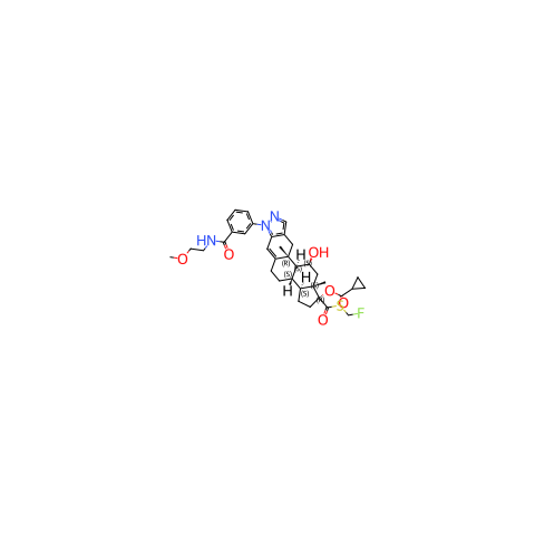 COCCNC(=O)c1cccc(-n2ncc3c2C=C2CC[C@@H]4[C@H]([C@@H](O)C[C@@]5(C)[C@H]4CC[C@]5(OC(=O)C4CC4)C(=O)SCF)[C@@]2(C)C3)c1